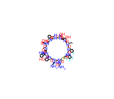 CCCC[C@H]1C(=O)N2C[C@H](O)C[C@@H]2C(=O)N[C@@H](CC(=O)O)C(=O)N[C@@H](C(C)C)C(=O)N(C)[C@@H](Cc2ccccc2)C(=O)N[C@@H](CCC(=O)O)C(=O)N2CCOC[C@@H]2C(=O)N[C@@H](Cc2c[nH]c3ccccc23)C(=O)N[C@@H](Cc2ccc(O)cc2)C(=O)N[C@@H](CCCCN)C(=O)N[C@H](C(=O)NCC(N)=O)CSCC(=O)N[C@@H](Cc2cc(F)c(F)c(F)c2)C(=O)N(C)[C@@H](Cc2ccc(F)cc2)C(=O)N1C